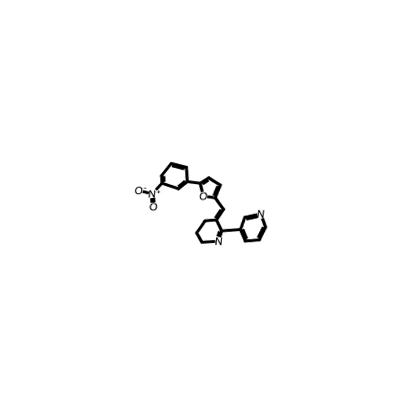 O=[N+]([O-])c1cccc(-c2ccc(C=C3CCCN=C3c3cccnc3)o2)c1